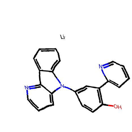 Oc1ccc(-n2c3ccccc3c3ncccc32)cc1-c1ccccn1.[Li]